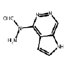 NN(C=O)c1nncc2[nH]ccc12